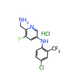 Cl.NCc1ncc(Nc2ccc(Cl)cc2C(F)(F)F)cc1F